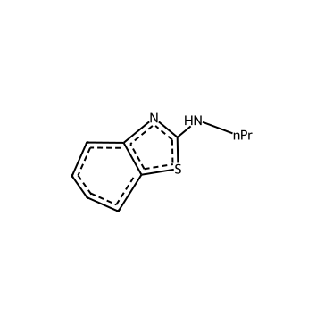 CCCNc1nc2ccccc2s1